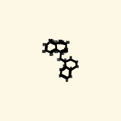 c1ccc2c(c1)CCCC2Cc1ncnc2ncccc12